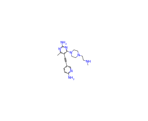 CNCCN1CCN(c2nc(N)nc(C)c2C#Cc2ccc(N)nc2)CC1